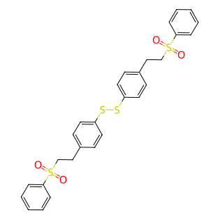 O=S(=O)(CCc1ccc(SSc2ccc(CCS(=O)(=O)c3ccccc3)cc2)cc1)c1ccccc1